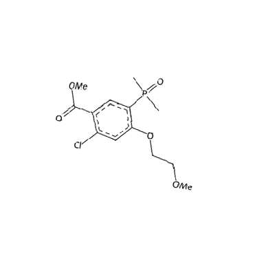 COCCOc1cc(Cl)c(C(=O)OC)cc1P(C)(C)=O